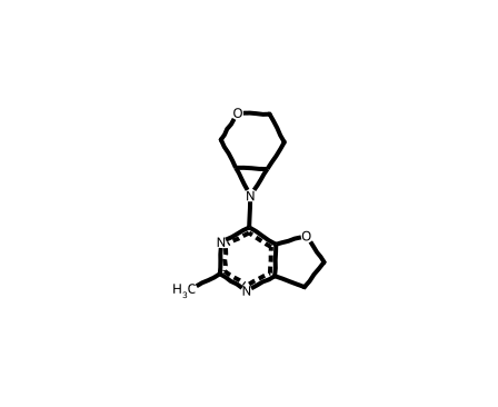 Cc1nc2c(c(N3C4CCOCC43)n1)OCC2